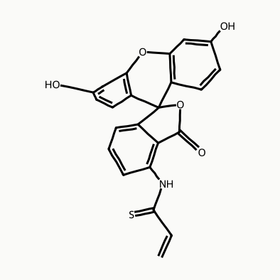 C=CC(=S)Nc1cccc2c1C(=O)OC21c2ccc(O)cc2Oc2cc(O)ccc21